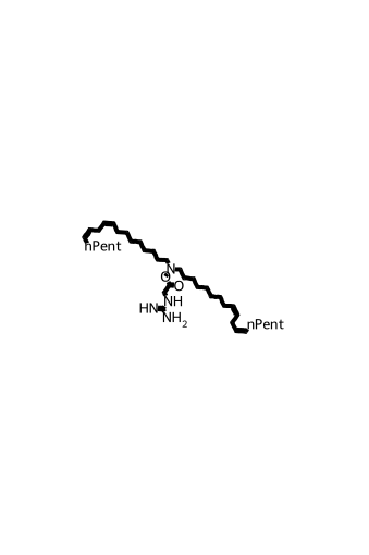 CCCCC/C=C\C/C=C\CCCCCCCCN(CCCCCCCC/C=C\C/C=C\CCCCC)OC(=O)CNC(=N)N